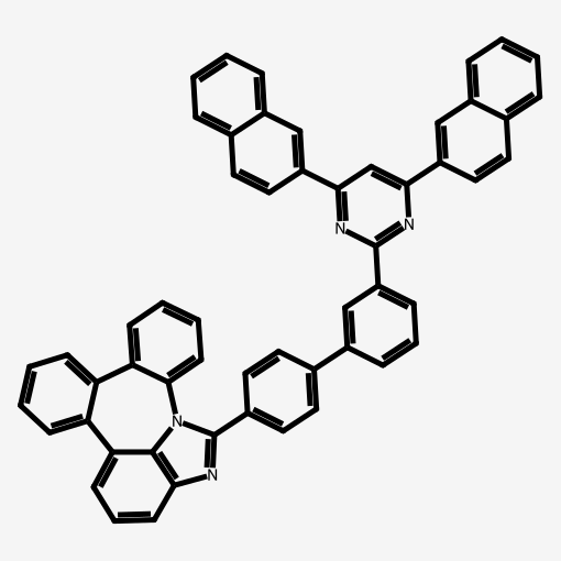 c1cc(-c2ccc(-c3nc4cccc5c4n3-c3ccccc3-c3ccccc3-5)cc2)cc(-c2nc(-c3ccc4ccccc4c3)cc(-c3ccc4ccccc4c3)n2)c1